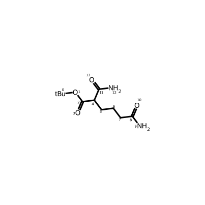 CC(C)(C)OC(=O)C(CCCC(N)=O)C(N)=O